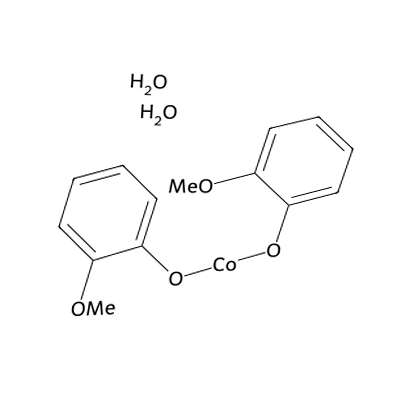 COc1ccccc1[O][Co][O]c1ccccc1OC.O.O